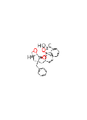 O=C(O)c1ccccc1C(=O)O[C@@H]1C2OC[C@@H]2CC1(Cc1ccccc1)Cc1ccccc1